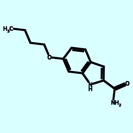 CCCCOc1ccc2cc(C(N)=O)[nH]c2c1